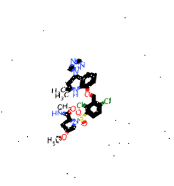 CNC(=O)C1CC(OC)CN1S(=O)(=O)c1ccc(Cl)c(COc2cccc3c2NC(C)(C)C=C3n2cncn2)c1Cl